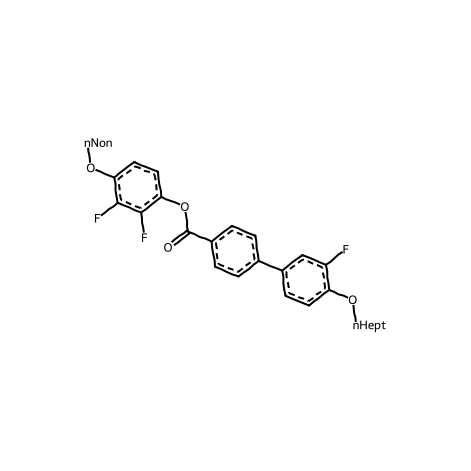 CCCCCCCCCOc1ccc(OC(=O)c2ccc(-c3ccc(OCCCCCCC)c(F)c3)cc2)c(F)c1F